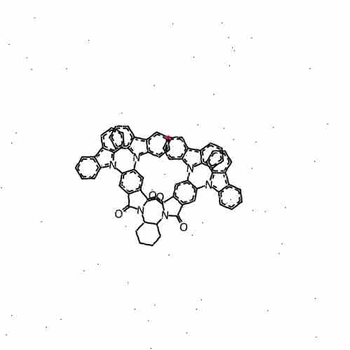 O=C1c2cc(-n3c4ccccc4c4ccccc43)c(-n3c4ccccc4c4ccccc43)cc2C(=O)N1C1CCCCC1N1C(=O)c2cc(-n3c4ccccc4c4ccccc43)c(-n3c4ccccc4c4ccccc43)cc2C1=O